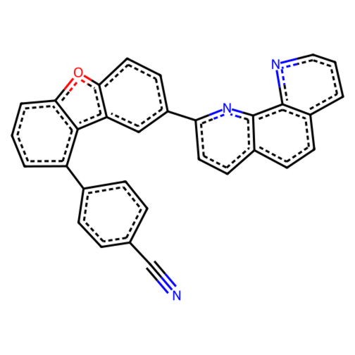 N#Cc1ccc(-c2cccc3oc4ccc(-c5ccc6ccc7cccnc7c6n5)cc4c23)cc1